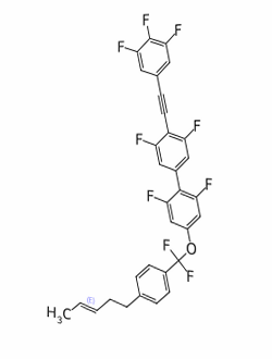 C/C=C/CCc1ccc(C(F)(F)Oc2cc(F)c(-c3cc(F)c(C#Cc4cc(F)c(F)c(F)c4)c(F)c3)c(F)c2)cc1